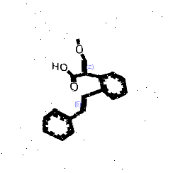 CO/C=C(\C(=O)O)c1ccccc1/C=C/c1ccccc1